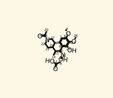 CC(=O)O.COc1ccc(C(=NO)C(C)C2CCN(C(C)=O)CC2)c(O)c1OC